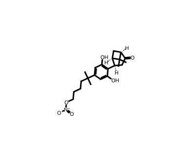 CC(C)(CCCCO[N+](=O)[O-])c1cc(O)c([C@@H]2CC(=O)[C@@H]3C[C@H]2C3(C)C)c(O)c1